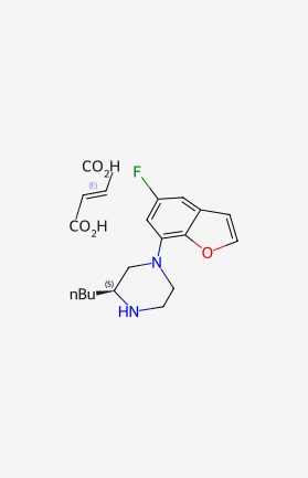 CCCC[C@H]1CN(c2cc(F)cc3ccoc23)CCN1.O=C(O)/C=C/C(=O)O